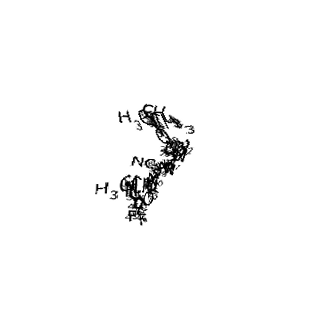 CN(C)Cc1cc(OC2CCN(C3CC(CC#N)(n4cc(-c5ncnc6c5ccn6COCC[Si](C)(C)C)cn4)C3)CC2)cc(C(F)F)c1